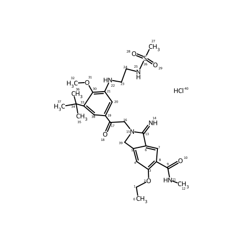 CCOc1cc2c(cc1C(=O)NC)C(=N)N(CC(=O)c1cc(NCCNS(C)(=O)=O)c(OC)c(C(C)(C)C)c1)C2.Cl